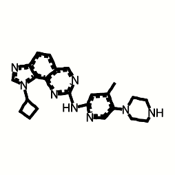 Cc1cc(Nc2ncc3ccc4ncn(C5CCC5)c4c3n2)ncc1N1CCNCC1